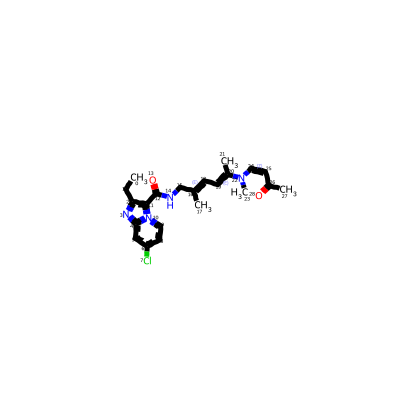 CCc1nc2cc(Cl)ccn2c1C(=O)NC/C(C)=C/C=C(\C)N(C)/C=C\C(C)=O